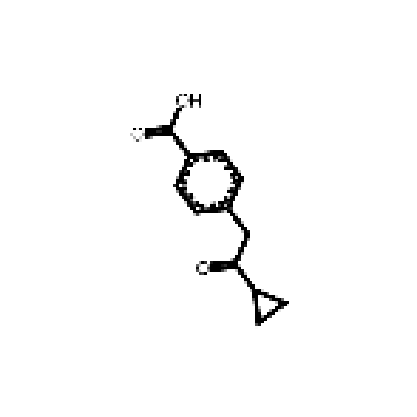 O=C(O)c1ccc(CC(=O)C2CC2)cc1